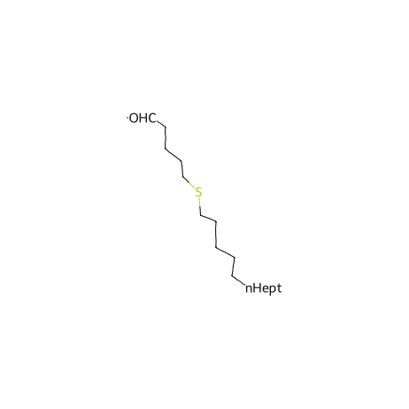 CCCCCCCCCCCCSCCCC[C]=O